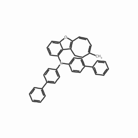 C/C1=C/C=C\c2oc3cccc(N(c4ccc(-c5ccccc5)cc4)c4ccc(-c5ccccc5)cc4)c3c2CC1